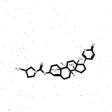 C[C@]12CCC(OC(=O)N3CCC(N)C3)C=C1CC[C@@H]1[C@@H]2CC[C@]2(C)[C@@H](c3ccc(=O)oc3)CC[C@]12O